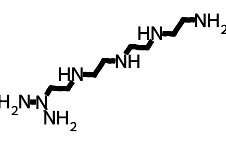 NCCNCCNCCNCCN(N)N